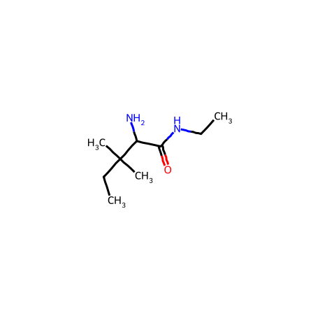 CCNC(=O)C(N)C(C)(C)CC